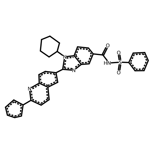 O=C(NS(=O)(=O)c1ccccc1)c1ccc2c(c1)nc(-c1ccc3nc(-c4ccccc4)ccc3c1)n2C1CCCCC1